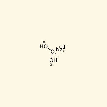 OOO.[H-].[Na+]